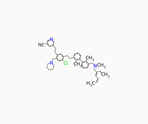 C=C/C(=C\C=C/C)CN(C)Cc1cccc(-c2cccc(CCc3cc(CCc4cncc(C#N)c4)c(CN4CCCCC4)cc3Cl)c2C)c1C